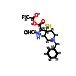 O=CN[C@@H](C(=O)OC(=O)C(F)(F)F)C1(S)CCN(Cc2ccccc2)CC1